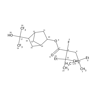 CCC(C)(C)CC(F)(C(=O)OC1CC2CC1CC2C(O)(C(F)(F)F)C(F)(F)F)C(C)(C)CC